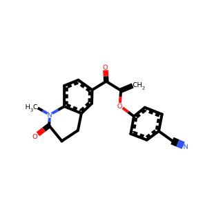 C=C(Oc1ccc(C#N)cc1)C(=O)c1ccc2c(c1)CCC(=O)N2C